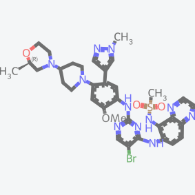 COc1cc(N2CCC(N3CCO[C@H](C)C3)CC2)c(-c2cnn(C)c2)cc1Nc1ncc(Br)c(Nc2ccc3nccnc3c2NS(C)(=O)=O)n1